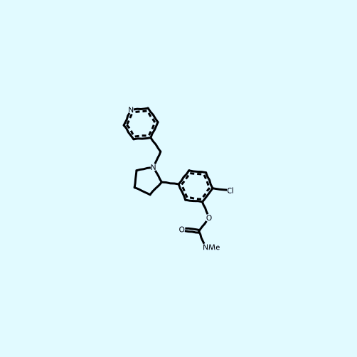 CNC(=O)Oc1cc(C2CCCN2Cc2ccncc2)ccc1Cl